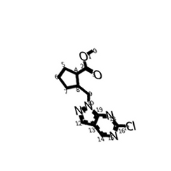 COC(=O)C1CCCC1Cn1ncc2cnc(Cl)nc21